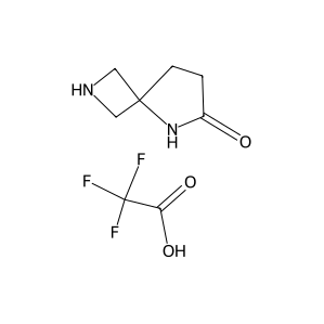 O=C(O)C(F)(F)F.O=C1CCC2(CNC2)N1